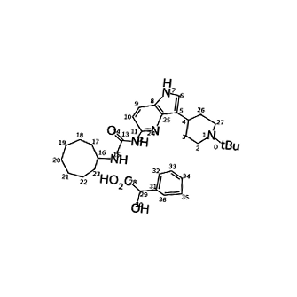 CC(C)(C)N1CCC(c2c[nH]c3ccc(NC(=O)NC4CCCCCCC4)nc23)CC1.O=C(O)C(O)c1ccccc1